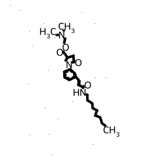 CCCCCCCCCCNC(=O)C=Cc1cccc(N2CC(C(=O)OCCN(CC)CC)CC2=O)c1